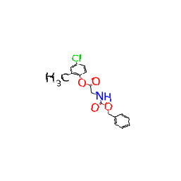 Cc1cc(Cl)ccc1OC(=O)CNC(=O)OCc1ccccc1